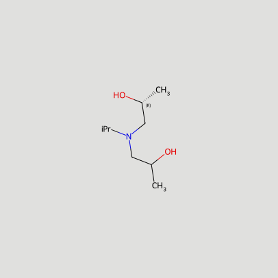 CC(O)CN(C[C@@H](C)O)C(C)C